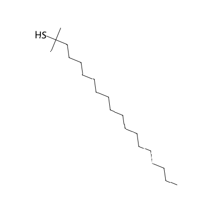 CCCCCCCCCCCCCCCCCC(C)(C)S